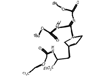 CCOC(=O)C(CC1=CCN(C(=NC(=O)OC(C)(C)C)NC(=O)OC(C)(C)C)C1)NC(=O)OCC(Cl)(Cl)Cl